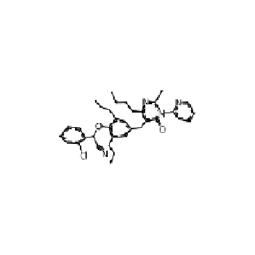 CCCCc1nc(C)n(-c2ccccn2)c(=O)c1Cc1cc(CCC)c(OC(C#N)c2ccccc2Cl)c(CCC)c1